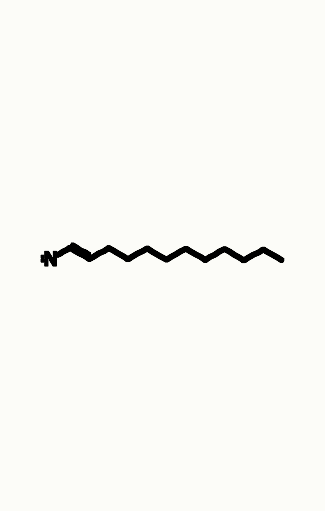 CCCCCCCCCC/C=C/[N]